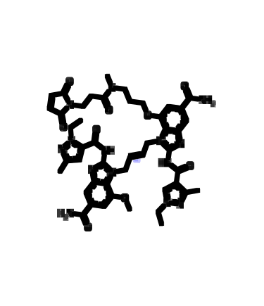 CCn1cc(C(=O)Nc2nc3cc(C(N)=O)cc(OCCCN(C)C(=O)CCN4C(=O)C=CC4=O)c3n2C/C=C/Cn2c(NC(=O)c3cc(C)nn3CC)nc3cc(C(N)=O)cc(OC)c32)c(C)n1